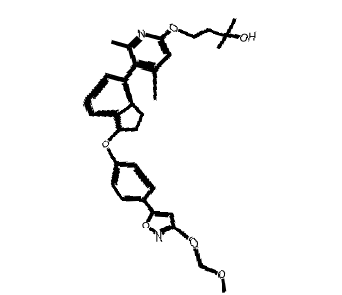 COCOc1cc(-c2ccc(OC3CCc4c(-c5c(C)cc(OCCC(C)(C)O)nc5C)cccc43)cc2)on1